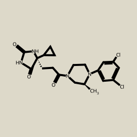 C[C@H]1CN(C(=O)CC[C@@]2(C3CC3)NC(=O)NC2=O)CCN1c1cc(Cl)cc(Cl)c1